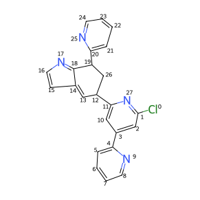 Clc1cc(-c2ccccn2)cc(C2C=C3C=CN=C3C(c3ccccn3)C2)n1